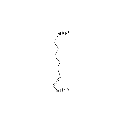 [CH2]CCCCCC=CCCCCCCCCCCC[CH2]